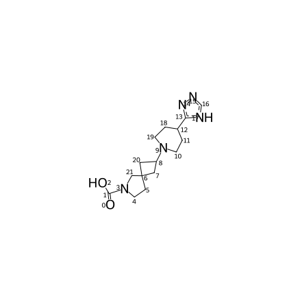 O=C(O)N1CCC2(CC(N3CCC(c4nnc[nH]4)CC3)C2)C1